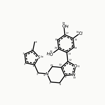 Cc1ccc(CN2CCc3noc(-c4cc(Cl)c(O)cc4O)c3C2)s1